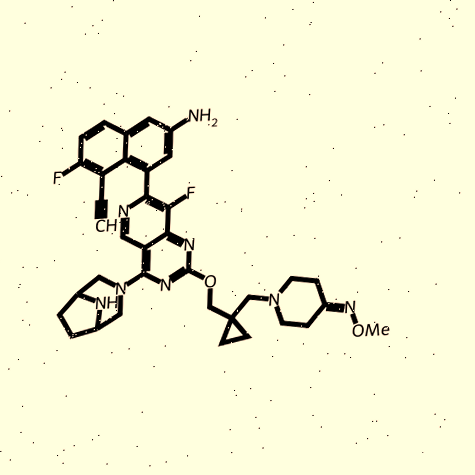 C#Cc1c(F)ccc2cc(N)cc(-c3ncc4c(N5CC6CCC(C5)N6)nc(OCC5(CN6CCC(=NOC)CC6)CC5)nc4c3F)c12